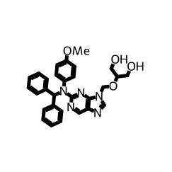 COc1ccc(N(c2ncc3ncn(COC(CO)CO)c3n2)C(c2ccccc2)c2ccccc2)cc1